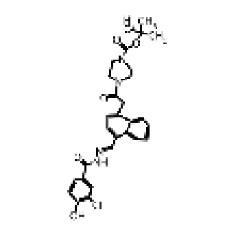 CC(C)(C)OC(=O)N1CCN(C(=O)Cc2ccc(/C=N/NC(=O)c3ccc(O)c(Cl)c3)c3ccccc23)CC1